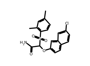 Cc1ccc(S(=O)(=O)C(Oc2ccc3ccc(Cl)cc3c2)C(N)=O)c(C)c1